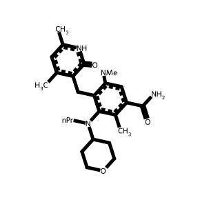 CCCN(c1c(C)c(C(N)=O)cc(NC)c1Cc1c(C)cc(C)[nH]c1=O)C1CCOCC1